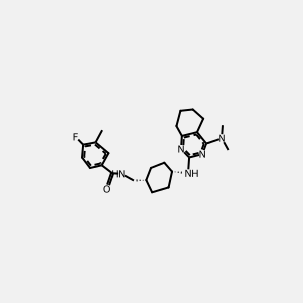 Cc1cc(C(=O)NC[C@H]2CC[C@@H](Nc3nc4c(c(N(C)C)n3)CCCC4)CC2)ccc1F